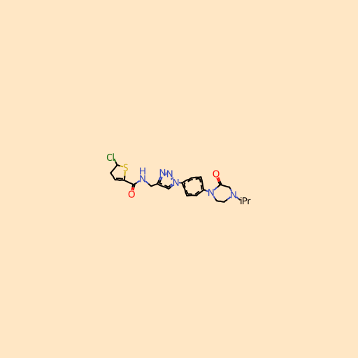 CC(C)N1CCN(c2ccc(-n3cc(CNC(=O)C4=CCC(Cl)S4)nn3)cc2)C(=O)C1